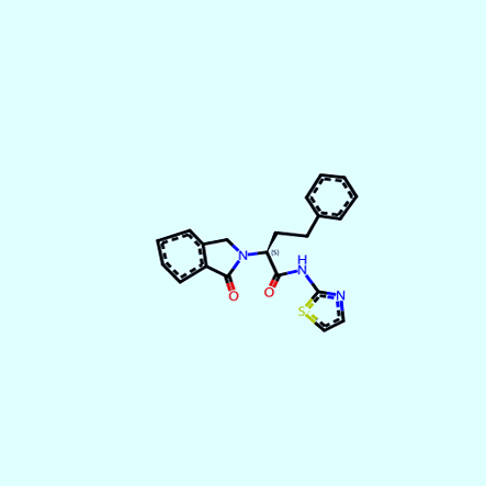 O=C(Nc1nccs1)[C@H](CCc1ccccc1)N1Cc2ccccc2C1=O